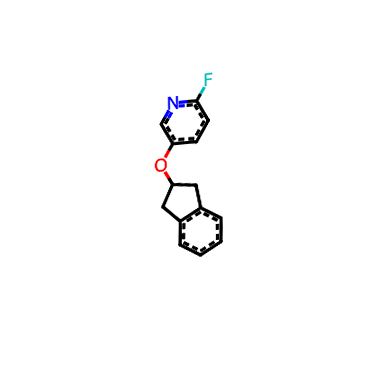 Fc1ccc(OC2Cc3ccccc3C2)cn1